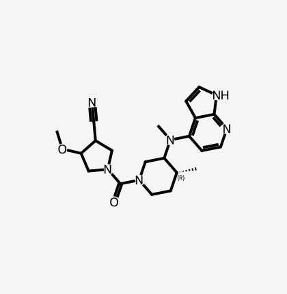 COC1CN(C(=O)N2CC[C@@H](C)C(N(C)c3ccnc4[nH]ccc34)C2)CC1C#N